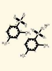 Cc1ccc(S(=O)(=O)[O-])c(C)c1.Cc1ccc(S(=O)(=O)[O-])c(C)c1.[Ni+2]